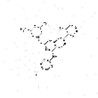 CC1CN(Cc2nc(Nc3ccc(C(F)(F)F)cn3)c3ccc(-c4ncccc4C(F)(F)F)cc3n2)CC(C)O1